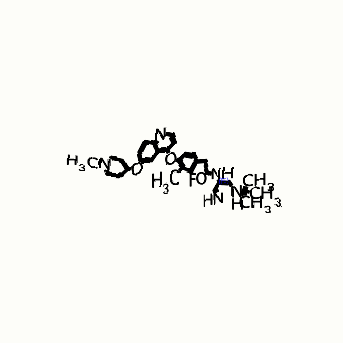 Cc1c(Oc2ccnc3ccc(OC4CCN(C)CC4)cc23)ccc(CC(=O)N/C(C=N)=C/NC(C)(C)C)c1F